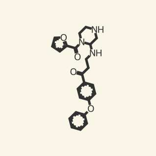 O=C(CCNC1CNCCN1C(=O)c1ccco1)c1ccc(Oc2ccccc2)cc1